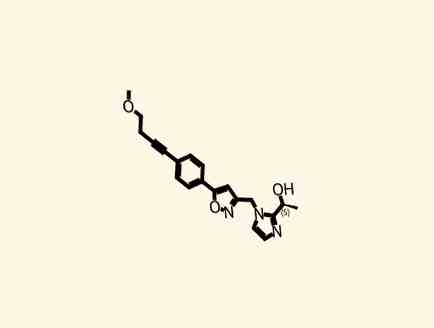 COCCC#Cc1ccc(-c2cc(Cn3ccnc3[C@H](C)O)no2)cc1